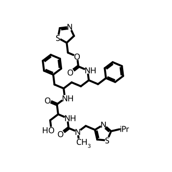 CC(C)c1nc(CN(C)C(=O)NC(CO)C(=O)NC(CCC(Cc2ccccc2)NC(=O)OCC2CN=CS2)Cc2ccccc2)cs1